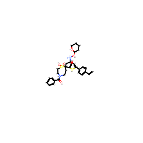 C=Cc1ccc(-c2ccc(C3(CC(=O)NOC4CCCCO4)CCN(C(=O)c4ccccc4)CCS3(=O)=O)s2)cc1